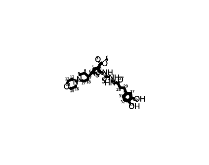 COC(=O)c1cc(C2CCN(N3CCOCC3)CC2)sc1NC(=S)NNC(=O)CCc1ccc(O)c(O)c1